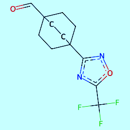 O=CC12CCC(c3noc(C(F)(F)F)n3)(CC1)CC2